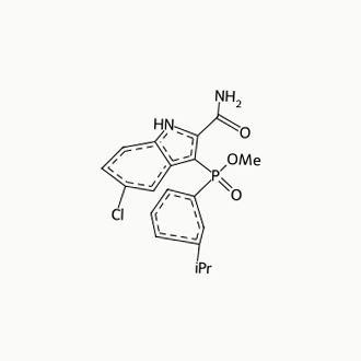 COP(=O)(c1cccc(C(C)C)c1)c1c(C(N)=O)[nH]c2ccc(Cl)cc12